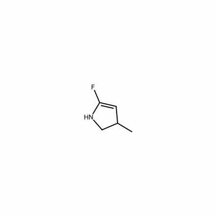 CC1C=C(F)NC1